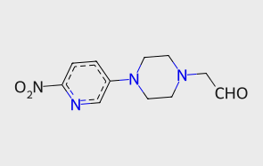 O=CCN1CCN(c2ccc([N+](=O)[O-])nc2)CC1